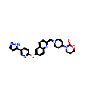 O=C1OCCCN1C1CCN(Cc2ccc3cc(Oc4ccc(-c5ccn[nH]5)cn4)ccc3n2)CC1